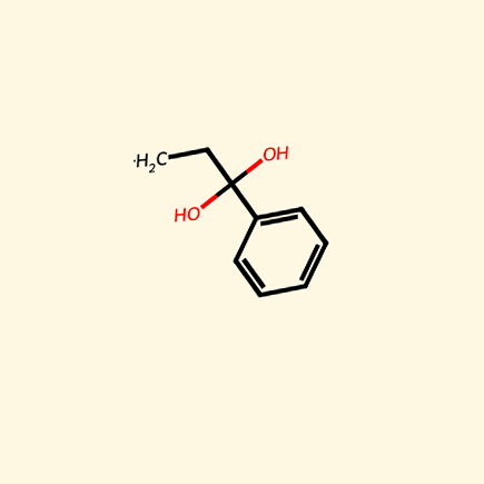 [CH2]CC(O)(O)c1ccccc1